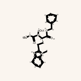 CCCCCCCCN(C(=O)OC(C)(C)C)[C@@H](CCc1nc2ccccc2n1C)C(=O)OCc1ccccc1